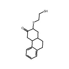 O=C1CC2c3ccccc3CCC2CC1SCCS